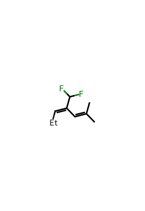 CC/C=C(\C=C(C)C)C(F)F